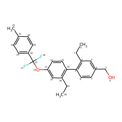 CCc1cc(CO)ccc1-c1ccc(OC(F)(F)c2ccc(C)cc2)cc1CC